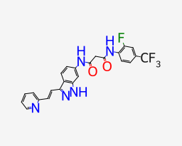 O=C(CC(=O)Nc1ccc(C(F)(F)F)cc1F)Nc1ccc2c(C=Cc3ccccn3)n[nH]c2c1